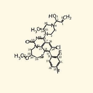 C=CC(O)N1CCN(c2nc(=O)n3c4c(c(-c5ccc(F)cc5F)c(Cl)cc24)SC[C@@H](OC)C3)[C@@H](C)C1